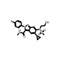 CNC(=O)c1c2cc(C3CC3)c(N(CCO)S(C)(=O)=O)cc2nn1-c1ccc(F)cc1